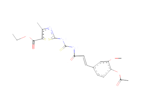 CCOC(=O)c1sc(NC(=S)NC(=O)C=Cc2ccc(OC(C)=O)c(OC)c2)nc1C